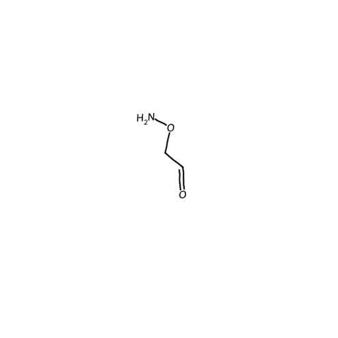 NOCC=O